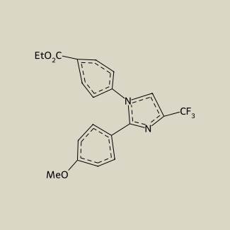 CCOC(=O)c1ccc(-n2cc(C(F)(F)F)nc2-c2ccc(OC)cc2)cc1